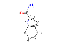 NC(=O)c1ccc2c(n1)CCC[C]2